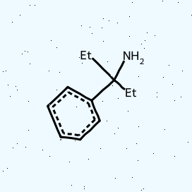 CCC(N)(CC)c1cc[c]cc1